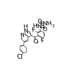 NS(=O)(=O)Nc1ccc(F)c(C(=O)c2c[nH]c3ncc(C4=CC=C(Cl)CC4)cc23)c1F